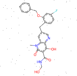 Cn1c(=O)c(C(=O)NCO)c(O)c2ncc(Cc3ccc(F)cc3OCc3ccccc3)cc21